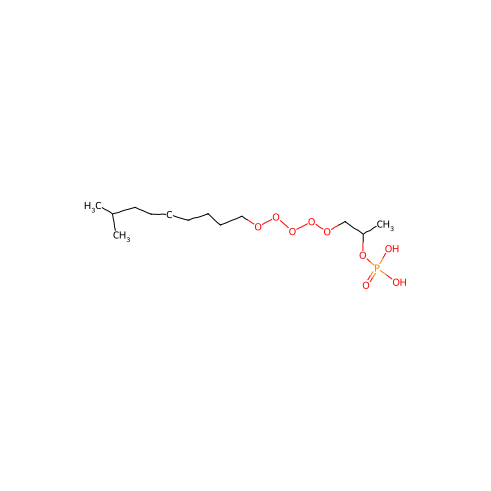 CC(C)CCCCCCCOOOOOCC(C)OP(=O)(O)O